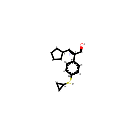 O=C/C(=C/C1CCCC1)c1ccc(SC2CC2)cc1